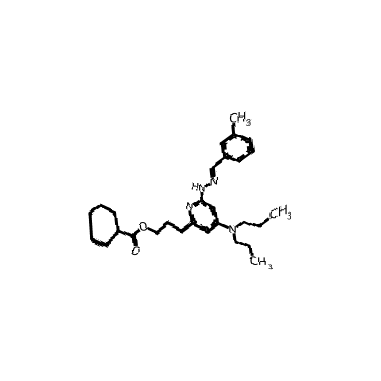 CCCN(CCC)c1cc(CCCOC(=O)C2CCCCC2)nc(N/N=C/c2cccc(C)c2)c1